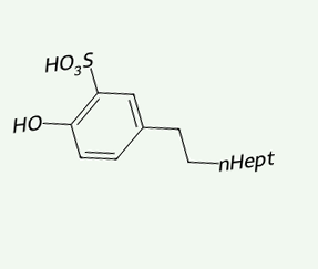 CCCCCCCCCc1ccc(O)c(S(=O)(=O)O)c1